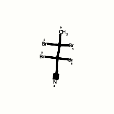 CC(Br)(Br)C(Br)(Br)C#N